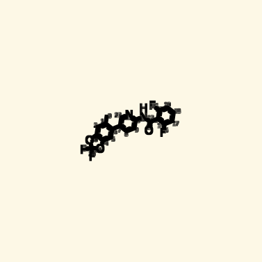 Cc1cc2c(cc1-c1ccc(NC(=O)c3c(F)cccc3F)nc1)OC(F)(F)O2